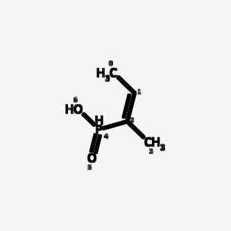 CC=C(C)[PH](=O)O